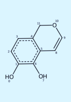 Oc1ccc2c(c1O)C=COC2